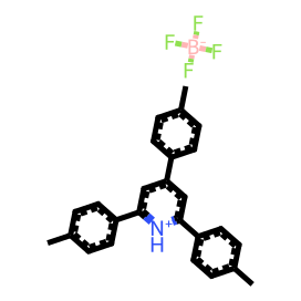 Cc1ccc(-c2cc(-c3ccc(C)cc3)[nH+]c(-c3ccc(C)cc3)c2)cc1.F[B-](F)(F)F